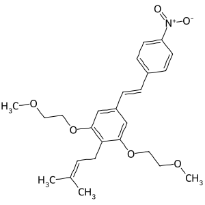 COCCOc1cc(C=Cc2ccc([N+](=O)[O-])cc2)cc(OCCOC)c1CC=C(C)C